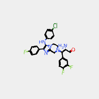 N[C@H](C=O)C(c1ccc(F)c(F)c1)N1CCn2c(nc(-c3ccc(F)cc3)c2Nc2ccc(Cl)cc2)C1